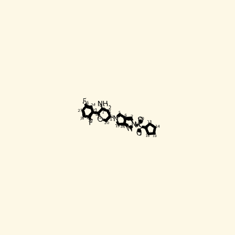 N[C@@H]1C[C@H](N2Cc3cn(S(=O)(=O)C4CCCC4)nc3C2)COC1c1cc(F)ccc1F